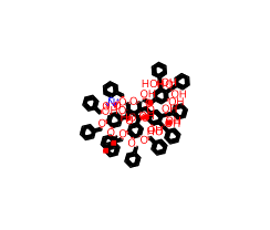 O=C(c1cc(O)c(C(O)(O)c2ccccc2)c(C(O)(O)c2ccccc2)c1)C(O)[C@H]1O[C@H](OCc2ccccc2[N+](=O)[O-])[C@@](O)(C(=O)c2cc(OCc3ccccc3)c(OCc3ccccc3)c(OCc3ccccc3)c2)[C@](O)(C(=O)c2cc(OCc3ccccc3)c(OCc3ccccc3)c(OCc3ccccc3)c2)[C@@]1(O)C(=O)c1cc(O)c(C(O)(O)c2ccccc2)c(C(O)(O)c2ccccc2)c1